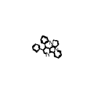 c1ccc(-c2cnc(-c3ccccn3)c(-c3ccccn3)c2-c2ccccc2)cc1